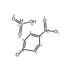 O=[N+]([O-])c1ccc(Cl)cc1.O=[SH](=O)O